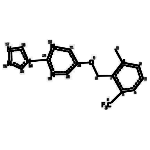 Cc1cccc(C(F)(F)F)c1COc1cnc(-n2cnnc2)nc1